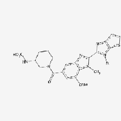 CCn1c(-c2nc3cc(C(=O)N4CCC[C@@H](NC(=O)O)C4)cc(OC)c3n2C)nc2ccsc21